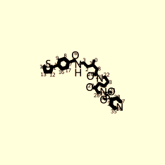 CC(CCNC(=O)c1ccc(-c2cccs2)cc1)CC(=O)N1CCC2C1C(=O)CN2S(=O)(=O)c1ccncc1